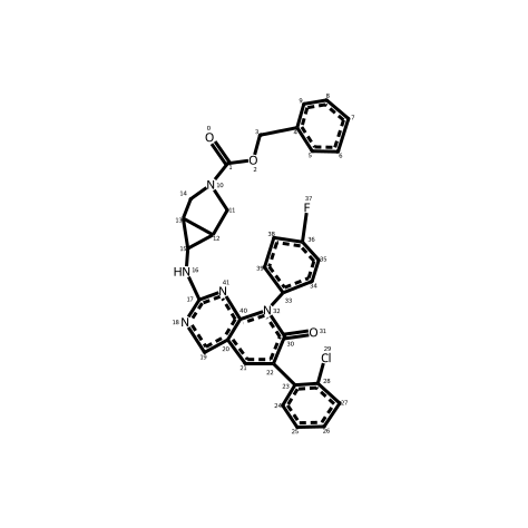 O=C(OCc1ccccc1)N1CC2C(C1)C2Nc1ncc2cc(-c3ccccc3Cl)c(=O)n(-c3ccc(F)cc3)c2n1